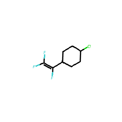 FC(F)=C(F)C1CCC(Cl)CC1